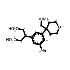 COCC1(c2cc(C(CC(=O)O)CC(=O)O)cc(C(C)(C)C)c2)CCOCC1